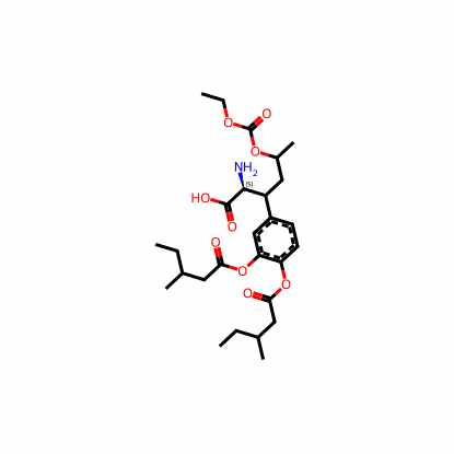 CCOC(=O)OC(C)CC(c1ccc(OC(=O)CC(C)CC)c(OC(=O)CC(C)CC)c1)[C@H](N)C(=O)O